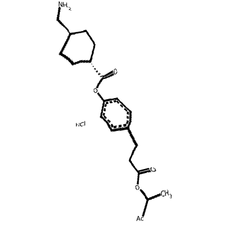 CC(=O)C(C)OC(=O)CCc1ccc(OC(=O)[C@H]2CC[C@H](CN)CC2)cc1.Cl